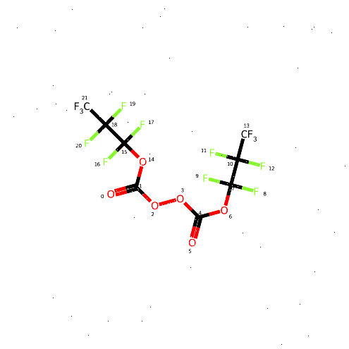 O=C(OOC(=O)OC(F)(F)C(F)(F)C(F)(F)F)OC(F)(F)C(F)(F)C(F)(F)F